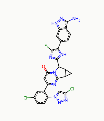 Nc1n[nH]c2cc(-c3[nH]c(C4C5CC5c5nc(-c6cc(Cl)ccc6-n6cc(Cl)nn6)cc(=O)n54)nc3F)ccc12